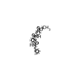 CCOC(=O)N1CCC(NC(=O)c2cccc(C(=O)NCCc3ccccc3)n2)CC1